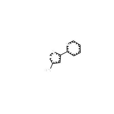 Nc1cc(-c2ccccn2)ns1